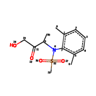 Cc1cccc(C)c1N(C(C)C(=O)CO)S(C)(=O)=O